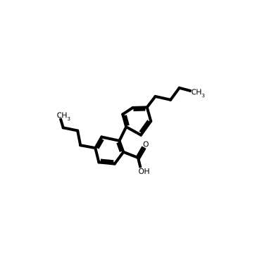 CCCCc1ccc(-c2cc(CCCC)ccc2C(=O)O)cc1